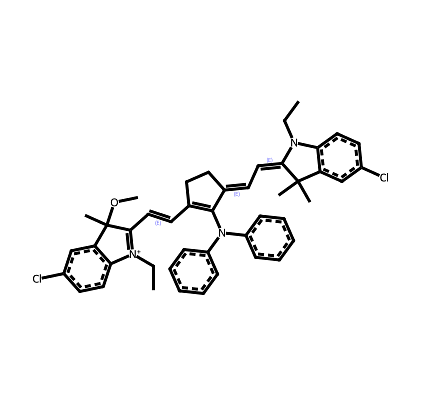 CCN1/C(=C/C=C2\CCC(/C=C/C3=[N+](CC)c4ccc(Cl)cc4C3(C)OC)=C2N(c2ccccc2)c2ccccc2)C(C)(C)c2cc(Cl)ccc21